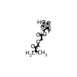 C=C(C)C(=O)COCC(=O)OCC(F)(F)S(=O)(=O)O